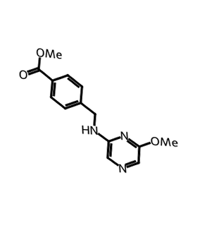 COC(=O)c1ccc(CNc2cncc(OC)n2)cc1